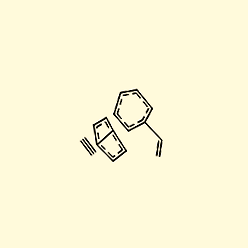 C#C.C=Cc1ccccc1.c1cc2ccc1-2